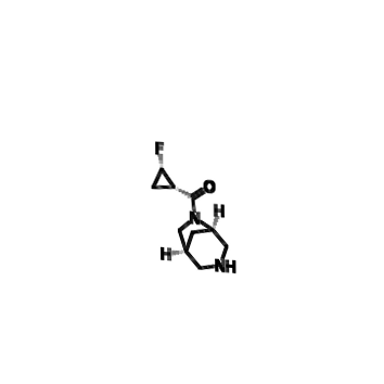 O=C([C@@H]1C[C@@H]1F)N1C[C@@H]2CNC[C@H]1C2